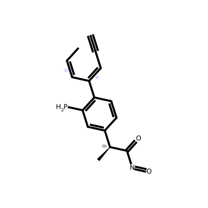 C#C/C=C(\C=C/C)c1ccc([C@H](C)C(=O)N=O)cc1P